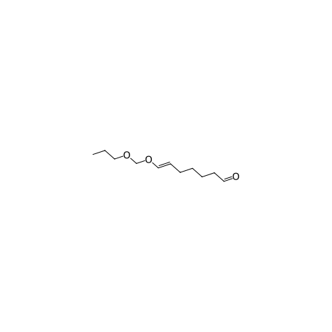 CCCOCOC=CCCCCC=O